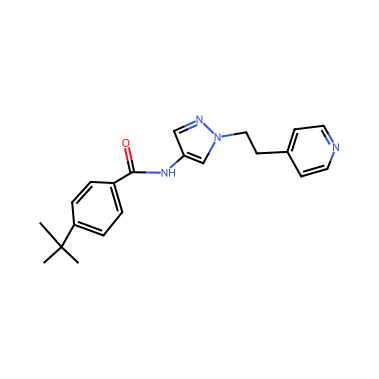 CC(C)(C)c1ccc(C(=O)Nc2cnn(CCc3ccncc3)c2)cc1